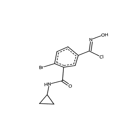 O=C(NC1CC1)c1cc(/C(Cl)=N/O)ccc1Br